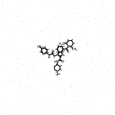 CC(C)N1CCC(NC(=O)c2nc3c(C(=O)N4C(C)CCCC4C)cccc3n2CC(=O)Nc2ccc(Cl)cn2)CC1